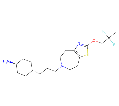 CC(F)(F)COc1nc2c(s1)CCN(CCC[C@H]1CC[C@H](N)CC1)CC2